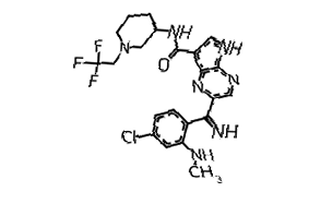 CNc1cc(Cl)ccc1C(=N)c1cnc2[nH]cc(C(=O)NC3CCCN(CC(F)(F)F)C3)c2n1